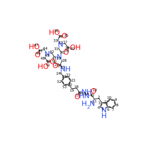 N[C@H](Cc1c[nH]c2ccccc12)C(=O)NNC(=O)CCc1ccc(CNC(=O)CN(CCN(CC(=O)O)CC(=O)O)CCN(CC(=O)O)CC(=O)O)cc1